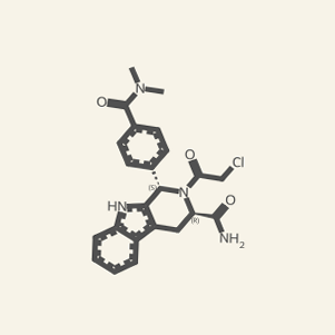 CN(C)C(=O)c1ccc([C@H]2c3[nH]c4ccccc4c3C[C@H](C(N)=O)N2C(=O)CCl)cc1